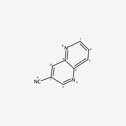 N#Cc1[c]nc2cccnc2c1